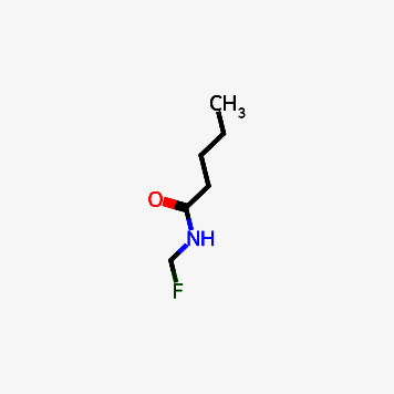 CCCCC(=O)NCF